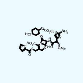 CCOC(=O)OC1CCCCC1.CO/N=C(\C(=O)N[C@@H]1C(=O)N2C(C(=O)O)=C(CSC(=O)c3ccco3)CS[C@H]12)c1csc(N)n1.Cl